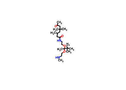 CNCCOC(C)(OCCNC(=O)CC(C)CC(C)(C)CC(C)=O)C(C)(C)C